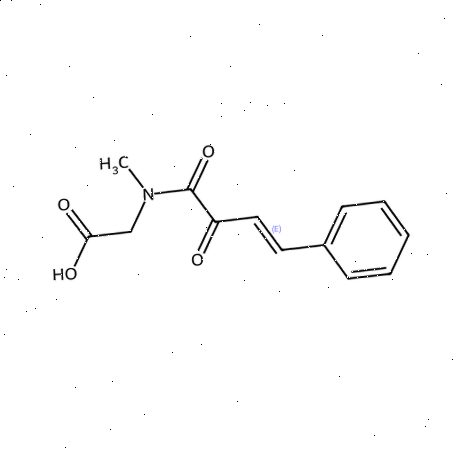 CN(CC(=O)O)C(=O)C(=O)/C=C/c1ccccc1